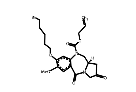 C=CCOC(=O)N1C[C@@H]2CC(=O)CN2C(=O)c2cc(OC)c(OCCCCCBr)cc21